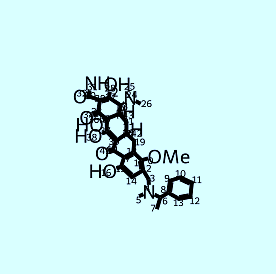 COc1c(CN(C)C(C)c2ccccc2)cc(O)c2c1C[C@H]1C[C@H]3[C@H](N(C)C)C(O)=C(C(N)=O)C(=O)[C@@]3(O)C(O)=C1C2=O